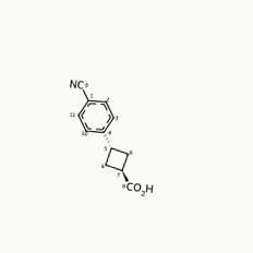 N#Cc1ccc([C@H]2C[C@H](C(=O)O)C2)cc1